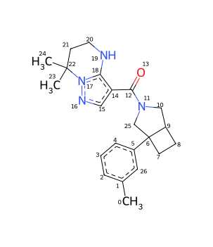 Cc1cccc(C23CCC2CN(C(=O)c2cnn4c2NCCC4(C)C)C3)c1